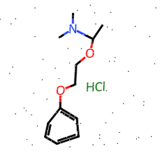 CC(OCCOc1ccccc1)N(C)C.Cl